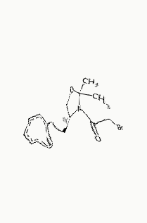 CC1(C)OC[C@H](Cc2ccccc2)N1C(=O)CBr